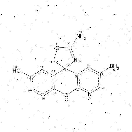 Bc1cnc2c(c1)C1(COC(N)=N1)c1cc(O)ccc1O2